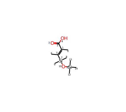 C/C(C(=O)O)=C(/C)[Si](C)(C)O[Si](C)(C)C